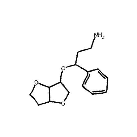 NCCC(OC1COC2CCOC21)c1ccccc1